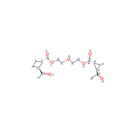 CC(=O)[C@H]1CC[C@@H]1C(=O)OCCOCCOC(=O)[C@@H]1C[C@H]1C(C)=O